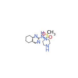 CS(=O)(=O)[N+]1(Nc2ncc3c(n2)CCCC3)CCNCC1